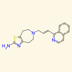 Nc1nc2c(s1)CCN(CC=Cc1nccc3ccccc13)CC2